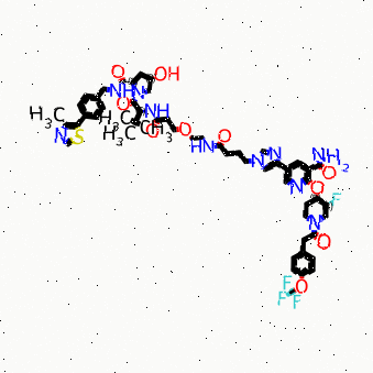 Cc1ncsc1-c1ccc(CNC(=O)[C@@H]2C[C@@H](O)CN2C(=O)[C@@H](NC(=O)CCOCCNC(=O)CCCn2cnc(-c3cnc(O[C@@H]4CCN(C(=O)Cc5ccc(OC(F)(F)F)cc5)C[C@H]4F)c(C(N)=O)c3)c2)C(C)(C)C)cc1